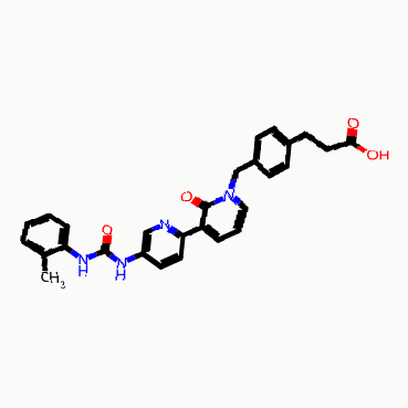 Cc1ccccc1NC(=O)Nc1ccc(-c2cccn(Cc3ccc(CCC(=O)O)cc3)c2=O)nc1